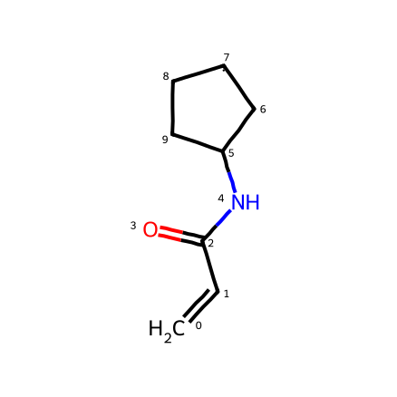 C=CC(=O)NC1C[CH]CC1